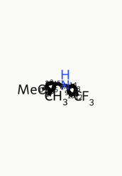 COc1ccc(CCNc2ccc(C(F)(F)F)cc2)cc1C